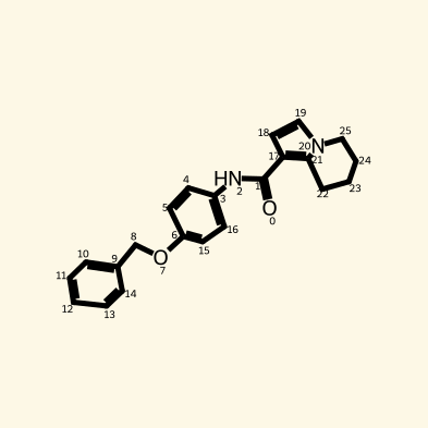 O=C(Nc1ccc(OCc2ccccc2)cc1)c1ccn2c1CCCC2